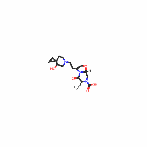 C[C@H]1C(=O)N2[C@@H](CCN3CCC4(CC4)C(O)C3)CO[C@H]2CN1C(=O)O